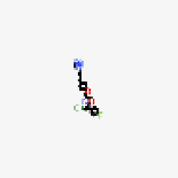 Fc1ccc(C(=CCl)c2nc(COc3ccc(CCCCn4ccnn4)cc3)co2)cc1